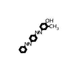 Cc1cc(N=Nc2ccc(N=Nc3ccccc3)cc2)ccc1O